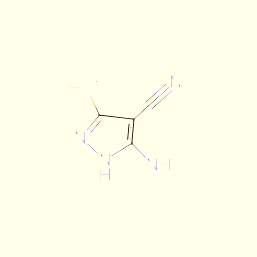 N#Cc1c(S)n[nH]c1N